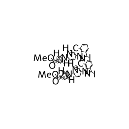 COC(=O)[C@@H]1C[C@@H]2C[C@H]1CN2c1ccc(-n2nc(I)c3cccc(C)c32)cn1.COC(=O)[C@H]1C[C@H]2C[C@@H]1CN2c1ccc(-n2nc(I)c3cccc(C)c32)cn1